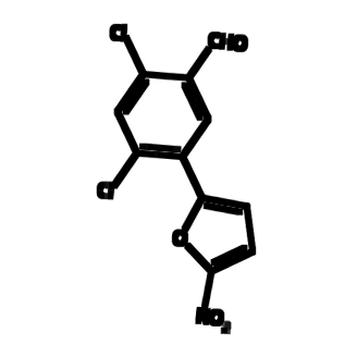 O=Cc1cc(-c2ccc([N+](=O)[O-])o2)c(Cl)cc1Cl